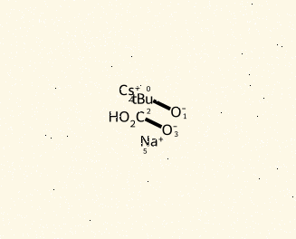 CC(C)(C)[O-].O=C([O-])O.[Cs+].[Na+]